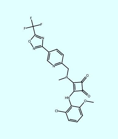 COc1cccc(Cl)c1Nc1c(N(C)Cc2ccc(-c3noc(C(F)(F)F)n3)cn2)c(=O)c1=O